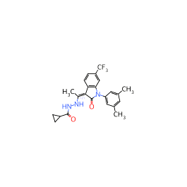 C/C(NNC(=O)C1CC1)=C1/C(=O)N(c2cc(C)cc(C)c2)c2cc(C(F)(F)F)ccc21